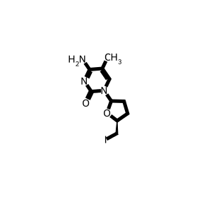 Cc1cn(C2CC[C@@H](CI)O2)c(=O)nc1N